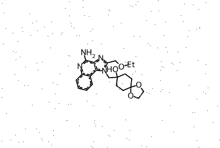 CCOCc1nc2c(N)nc3ccccc3c2n1CC1(O)CCC2(CC1)OCCO2